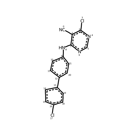 N#Cc1c(Cl)ncnc1Nc1ccc(-c2ccc(Cl)cc2)cc1